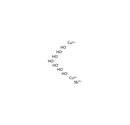 [Cu+2].[Cu+2].[OH-].[OH-].[OH-].[OH-].[OH-].[OH-].[OH-].[Sb+3]